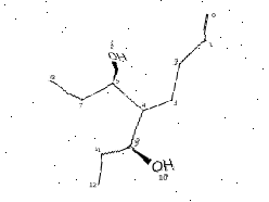 CCCCC([C@H](O)CC)[C@@H](O)CC